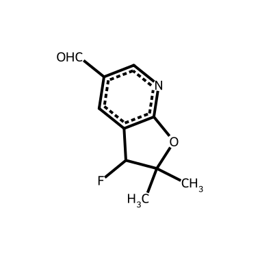 CC1(C)Oc2ncc(C=O)cc2C1F